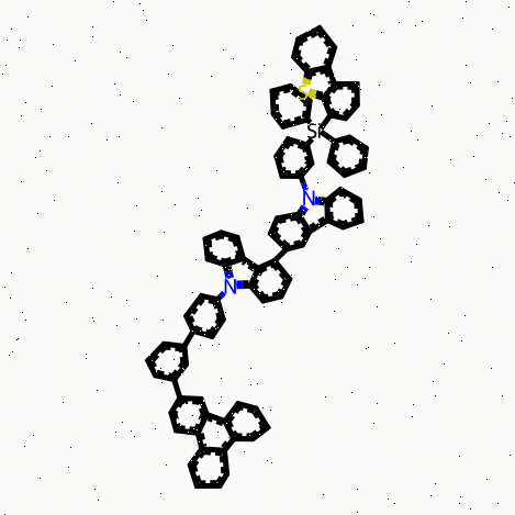 c1ccc([Si](c2ccccc2)(c2cccc(-n3c4ccccc4c4cc(-c5cccc6c5c5ccccc5n6-c5ccc(-c6cccc(-c7ccc8c9ccccc9c9ccccc9c8c7)c6)cc5)ccc43)c2)c2cccc3c2sc2ccccc23)cc1